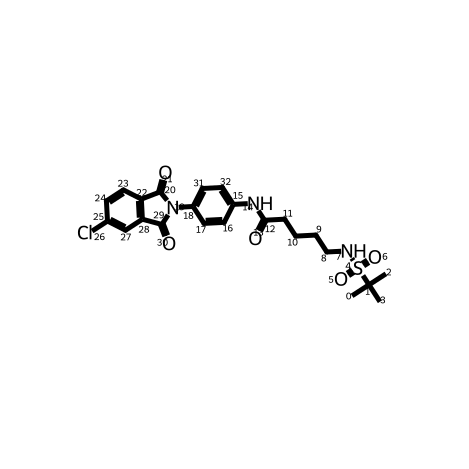 CC(C)(C)S(=O)(=O)NCCCCC(=O)Nc1ccc(N2C(=O)c3ccc(Cl)cc3C2=O)cc1